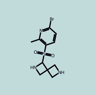 Cc1nc(Br)ccc1S(=O)(=O)C1NCC12CNC2